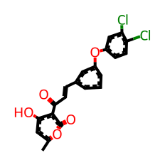 Cc1cc(O)c(C(=O)C=Cc2cccc(Oc3ccc(Cl)c(Cl)c3)c2)c(=O)o1